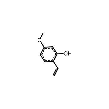 [CH]=Cc1ccc(OC)cc1O